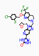 O=c1[nH]nc(-c2cc3nc(CN4CCc5cc(C(F)(F)F)c(OCc6ccc(Cl)cc6F)nc5C4)n(C[C@@H]4CCO4)c3cn2)[nH]1